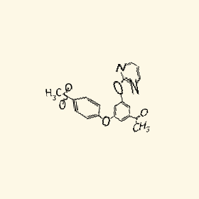 CC(=O)c1cc(Oc2ccc(S(C)(=O)=O)cc2)cc(Oc2ncccn2)c1